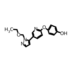 CCOCn1nccc1-c1ccc(Oc2ccc(O)cc2)nc1